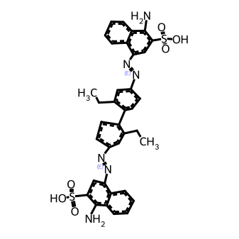 CCc1cc(/N=N/c2cc(S(=O)(=O)O)c(N)c3ccccc23)ccc1-c1ccc(/N=N/c2cc(S(=O)(=O)O)c(N)c3ccccc23)cc1CC